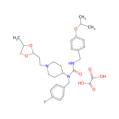 CC(C)Oc1ccc(CNC(=O)N(Cc2ccc(F)cc2)C2CCN(CCC3OCC(C)O3)CC2)cc1.O=C(O)C(=O)O